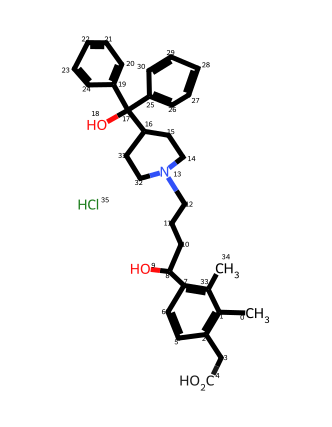 Cc1c(CC(=O)O)ccc(C(O)CCCN2CCC(C(O)(c3ccccc3)c3ccccc3)CC2)c1C.Cl